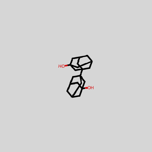 OC12CC3CC(C1)CC(C14CC5CC(CC(O)(C5)C1)C4)(C3)C2